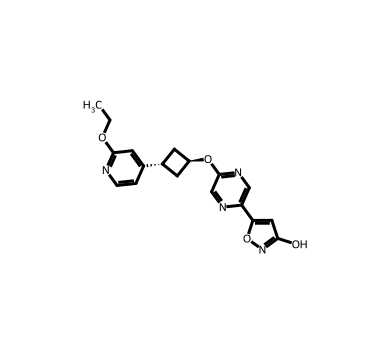 CCOc1cc([C@H]2C[C@H](Oc3cnc(-c4cc(O)no4)cn3)C2)ccn1